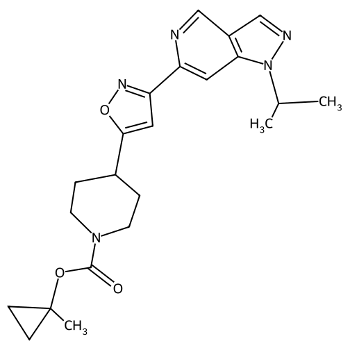 CC(C)n1ncc2cnc(-c3cc(C4CCN(C(=O)OC5(C)CC5)CC4)on3)cc21